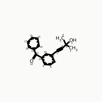 CC(C)(O)C#Cc1cccc(C(=O)c2ccccc2)c1